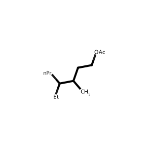 CCCC(CC)C(C)CCOC(C)=O